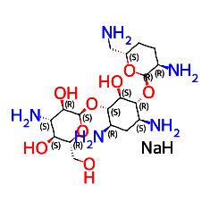 NC[C@@H]1CC[C@@H](N)[C@@H](O[C@H]2[C@H](O)[C@@H](O[C@H]3O[C@H](CO)[C@@H](O)[C@H](N)[C@H]3O)[C@H](N)C[C@@H]2N)O1.[NaH]